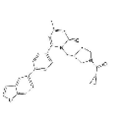 Cc1cc(=O)n(CC2CCN(C(=O)C3CC3)C2)c(-c2ccc(-c3ccc4occc4c3)cc2)n1